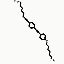 CCCCCCCC#Cc1ccc(C#Cc2ccc(OCCCCCCC)cc2)cc1